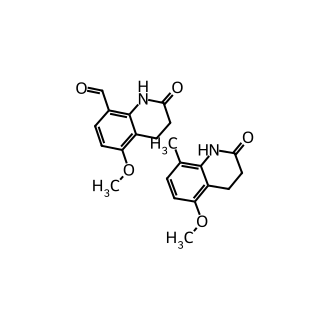 COc1ccc(C)c2c1CCC(=O)N2.COc1ccc(C=O)c2c1CCC(=O)N2